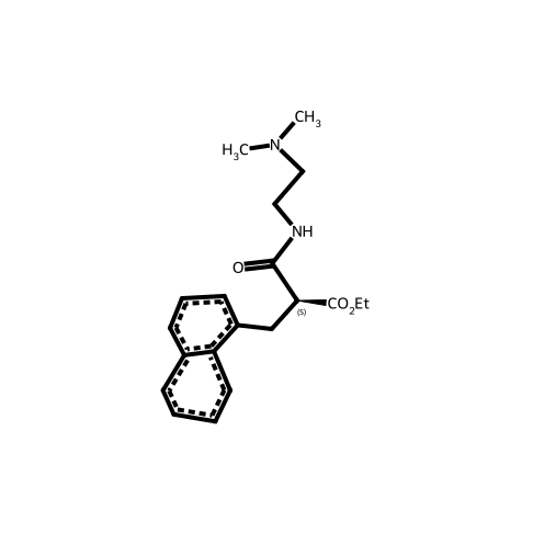 CCOC(=O)[C@@H](Cc1cccc2ccccc12)C(=O)NCCN(C)C